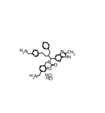 Cc1nc2cc(C(C(CCc3ccc(CN)cc3)Cc3ccccc3)N(Cc3ccc(CN)cc3)C(=O)O)ccc2[nH]1.Cl.Cl